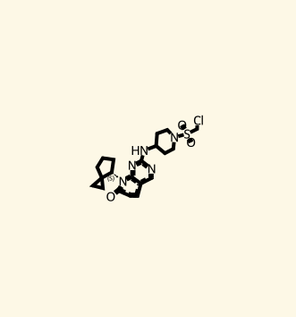 O=c1ccc2cnc(NC3CCN(S(=O)(=O)CCl)CC3)nc2n1[C@H]1CCCC12CC2